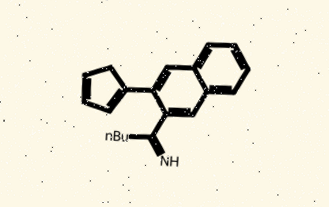 CCCCC(=N)c1cc2ccccc2cc1C1=CC=CC1